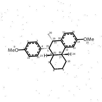 COc1ccc([C@H]2[C@H]3CCCC[C@H]3c3cc(OC)ccc3[C@H]2C)cc1